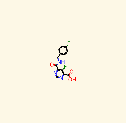 O=C(O)c1ncnc(C(=O)NCc2ccc(F)cc2)c1F